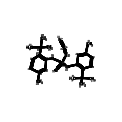 Cc1ccc(C(C)(C)C)c(OP(=O)(N=[N+]=[N-])Oc2cc(C)ccc2C(C)(C)C)c1